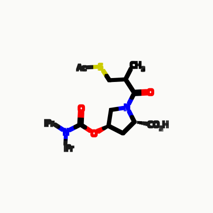 CC(=O)SCC(C)C(=O)N1C[C@H](OC(=O)N(C(C)C)C(C)C)C[C@H]1C(=O)O